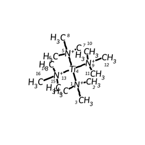 C[N+](C)(C)[Ti]([N+](C)(C)C)([N+](C)(C)C)[N+](C)(C)C